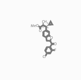 COC(=O)[C@@H](C)[C@H](c1ccc2c(c1)OC(C(=O)c1ccc(Cl)cc1F)C2)C1CC1